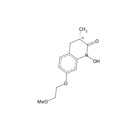 COCCOc1ccc2c(c1)N(O)C(=O)[C@@H](C)C2